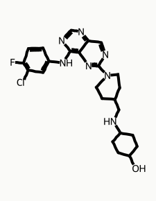 OC1CCC(NCC2CCN(c3ncc4ncnc(Nc5ccc(F)c(Cl)c5)c4n3)CC2)CC1